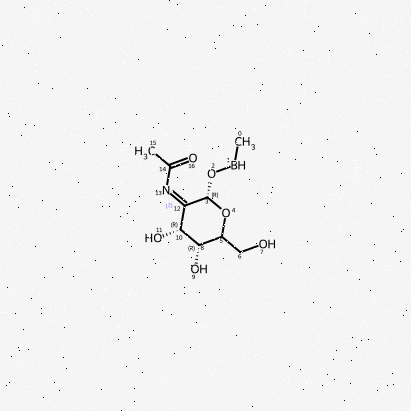 CBO[C@@H]1OC(CO)[C@H](O)[C@H](O)/C1=N/C(C)=O